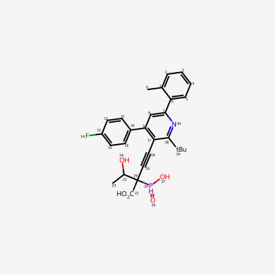 Cc1ccccc1-c1cc(-c2ccc(F)cc2)c(C#CC(C(=O)O)(C(C)O)[PH](=O)O)c(C(C)(C)C)n1